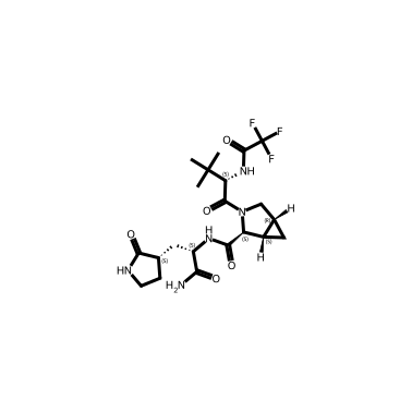 CC(C)(C)[C@H](NC(=O)C(F)(F)F)C(=O)N1C[C@@H]2C[C@@H]2[C@H]1C(=O)N[C@@H](C[C@@H]1CCNC1=O)C(N)=O